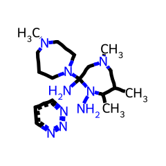 CC1CN(C)CC(N)(N2CCCN(C)CC2)N(N)C1C.c1cnnnc1